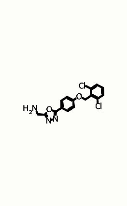 NCc1nnc(-c2ccc(OCc3c(Cl)cccc3Cl)cc2)o1